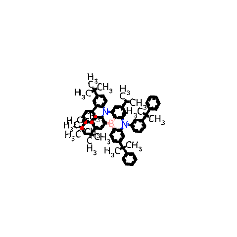 CC(C)c1cc2c3c(c1)N(c1ccc(C(C)(C)C)cc1-c1ccc(C(C)(C)C)cc1)c1cc4c(cc1B3c1ccc(C(C)(C)c3ccccc3)cc1N2c1cccc(C(C)(C)c2ccccc2)c1)C(C)(C)CCC4(C)C